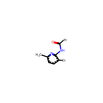 CCc1ccc(C)nc1NC(=O)C(C)C